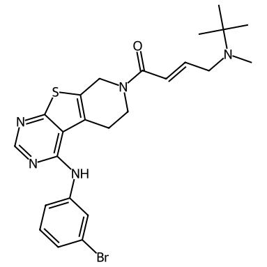 CN(CC=CC(=O)N1CCc2c(sc3ncnc(Nc4cccc(Br)c4)c23)C1)C(C)(C)C